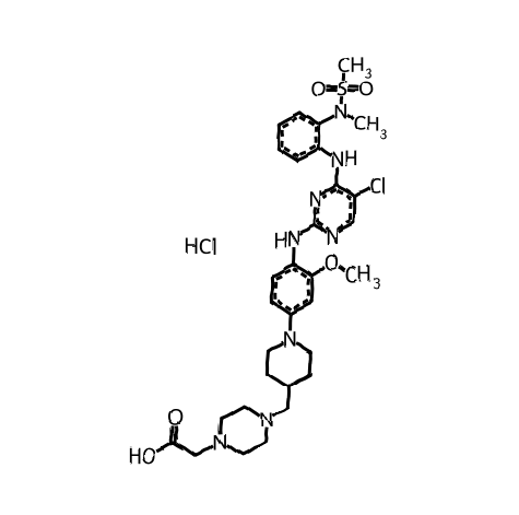 COc1cc(N2CCC(CN3CCN(CC(=O)O)CC3)CC2)ccc1Nc1ncc(Cl)c(Nc2ccccc2N(C)S(C)(=O)=O)n1.Cl